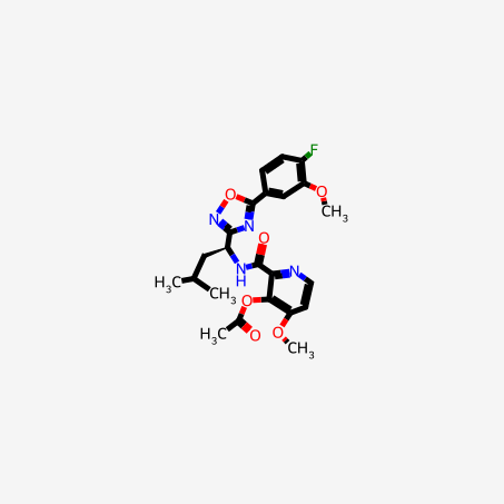 COc1cc(-c2nc([C@H](CC(C)C)NC(=O)c3nccc(OC)c3OC(C)=O)no2)ccc1F